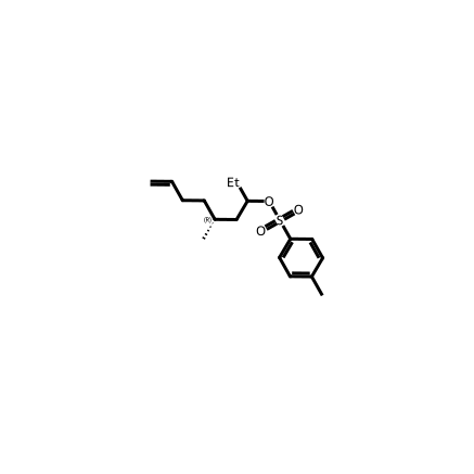 C=CCC[C@@H](C)CC(CC)OS(=O)(=O)c1ccc(C)cc1